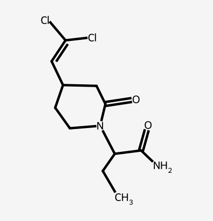 CCC(C(N)=O)N1CCC(C=C(Cl)Cl)CC1=O